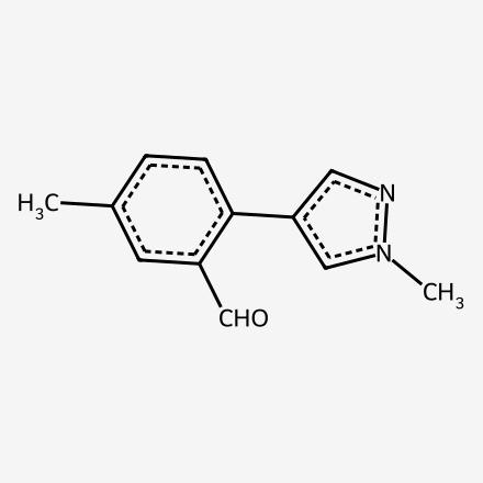 Cc1ccc(-c2cnn(C)c2)c(C=O)c1